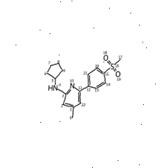 Cc1cc(NC2CCCC2)nc(-c2ccc(S(C)(=O)=O)cc2)c1